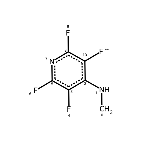 CNc1c(F)c(F)nc(F)c1F